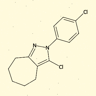 Clc1ccc(-n2nc3c(c2Cl)CCCCC3)cc1